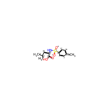 Cc1ccc(S(=O)(=O)N/C(=C/C(C)C)C(=O)O)cc1